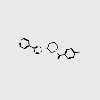 O=C(c1ccc(F)cc1)N1CCC[C@H](n2nnc(-c3ccncc3)n2)C1